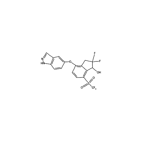 O=S(=O)(c1ccc(Oc2ccc3[nH]ncc3c2)c2c1C(O)C(F)(F)C2)C(F)(F)F